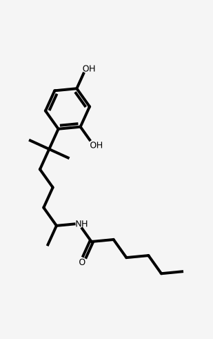 CCCCCC(=O)NC(C)CCCC(C)(C)c1ccc(O)cc1O